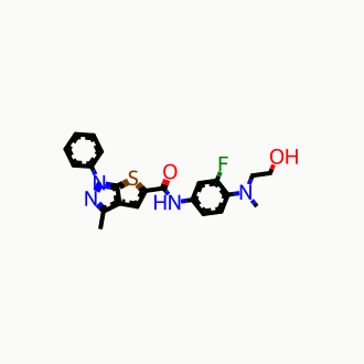 Cc1nn(-c2ccccc2)c2sc(C(=O)Nc3ccc(N(C)CCO)c(F)c3)cc12